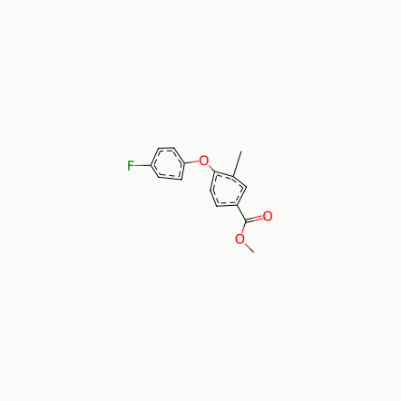 COC(=O)c1ccc(Oc2ccc(F)cc2)c(C)c1